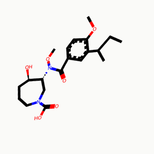 CCC(C)c1cc(C(=O)N(OC)[C@@H]2CN(C(=O)O)CCC[C@H]2O)ccc1OC